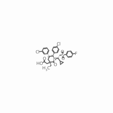 CC[C@@]1(CC(=O)O)C[C@H](c2cccc(Cl)c2)[C@@H](c2ccc(Cl)cc2)N([C@H](CS(=O)(=O)c2ccc(F)cc2)C2CC2)C1=O